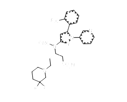 O=CN(c1cc(-c2ccccc2C(F)(F)F)n(-c2cccnc2)n1)[C@@H](CCN1CCCC(F)(F)C1)CC(=O)O